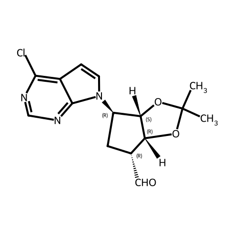 CC1(C)O[C@@H]2[C@H](O1)[C@H](C=O)C[C@H]2n1ccc2c(Cl)ncnc21